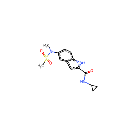 CN(c1ccc2[nH]c(C(=O)NC3CC3)cc2c1)S(C)(=O)=O